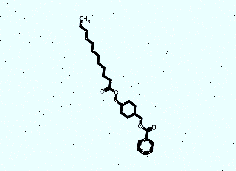 CCCCCCCCCCCC(=O)OCC1CCC(COC(=O)c2ccccc2)CC1